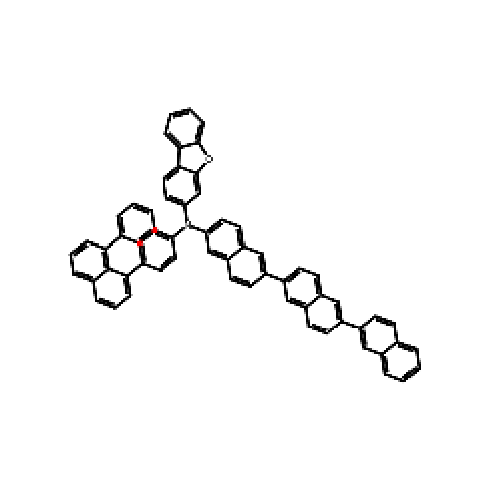 c1ccc(-c2cccc3cccc(-c4ccc(N(c5ccc6cc(-c7ccc8cc(-c9ccc%10ccccc%10c9)ccc8c7)ccc6c5)c5ccc6c(c5)oc5ccccc56)cc4)c23)cc1